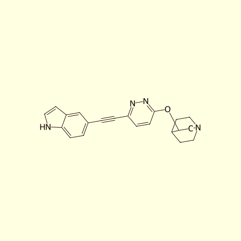 C(#Cc1ccc(OC2CN3CCC2CC3)nn1)c1ccc2[nH]ccc2c1